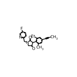 CC#Cc1cc(C)c(C2C(=O)CN(Cc3ccc(F)cn3)C2=O)c(CC)c1